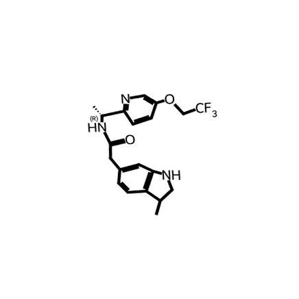 CC1CNc2cc(CC(=O)N[C@H](C)c3ccc(OCC(F)(F)F)cn3)ccc21